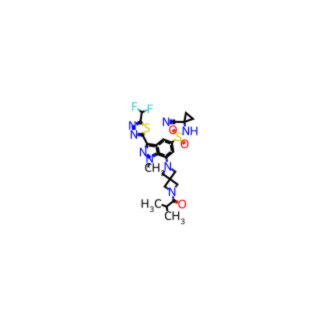 CC(C)C(=O)N1CC2(C1)CN(c1cc(S(=O)(=O)NC3(C#N)CC3)cc3c(-c4nnc(C(F)F)s4)nn(C)c13)C2